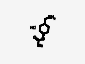 CC(C)(C)C(=O)ON1CCC(CN)CC1.Cl